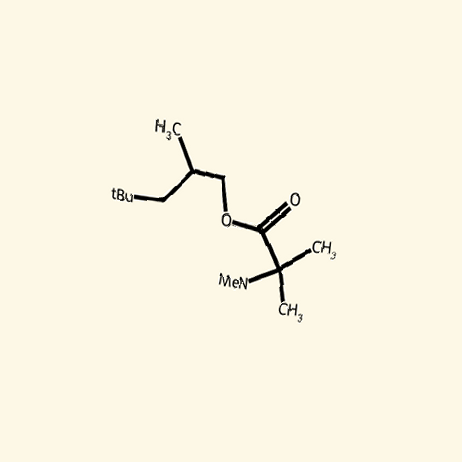 CNC(C)(C)C(=O)OCC(C)CC(C)(C)C